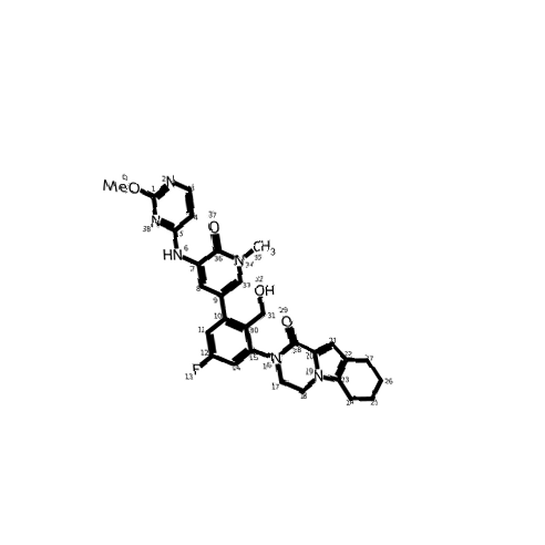 COc1nccc(Nc2cc(-c3cc(F)cc(N4CCn5c(cc6c5CCCC6)C4=O)c3CO)cn(C)c2=O)n1